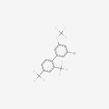 FC(F)(F)Sc1[c]c(Cl)cc(-c2ccc(C(F)(F)F)cc2C(F)(F)F)c1